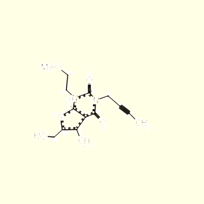 CC#CCn1c(=O)c2c(C)c(CO)sc2n(CCOC)c1=O